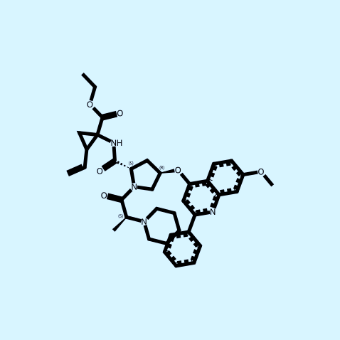 C=CC1CC1(NC(=O)[C@@H]1C[C@@H](Oc2cc(-c3ccccc3)nc3cc(OC)ccc23)CN1C(=O)[C@H](C)N1CCCCC1)C(=O)OCC